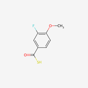 COc1ccc(C(=O)S)cc1F